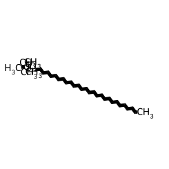 CCCCCCCCCCCCCCCCCCCCCCCCCCCCO[Si](C)(C)C(C)(C)C